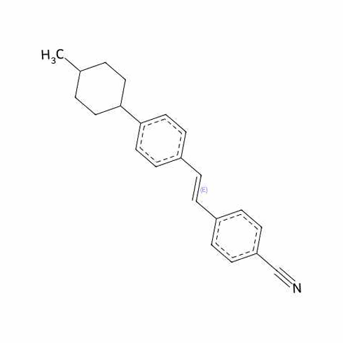 CC1CCC(c2ccc(/C=C/c3ccc(C#N)cc3)cc2)CC1